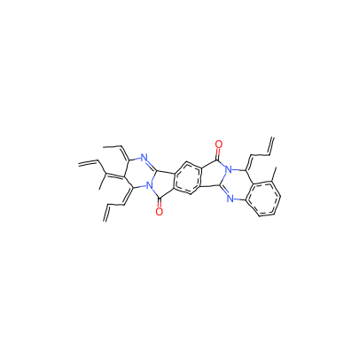 C=C\C=C1C(=C(\C)C=C)/C(=C\C)N=C2c3cc4c(cc3C(=O)N2/1)C1=Nc2cccc(C)c2/C(=C\C=C)N1C4=O